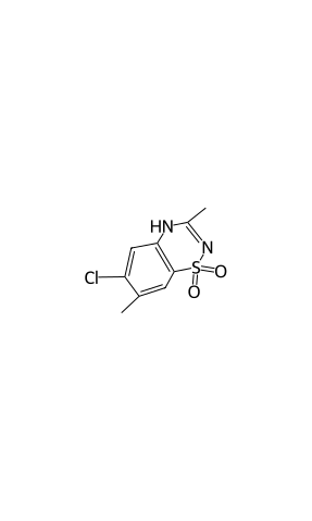 CC1=NS(=O)(=O)c2cc(C)c(Cl)cc2N1